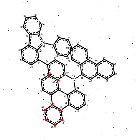 c1ccc(-c2ccccc2-c2c(-c3ccccc3)cccc2N(c2ccc(-c3cccc4c5ccccc5n(-c5ccccc5)c34)cc2)c2cc3ccccc3c3ccccc23)cc1